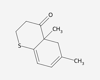 CC1=CC=C2SCCC(=O)C2(C)C1